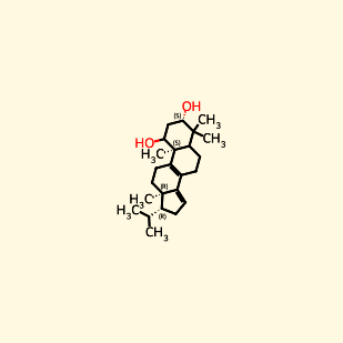 CC(C)[C@H]1CC=C2C3=C(CC[C@@]21C)[C@@]1(C)C(O)C[C@H](O)C(C)(C)C1CC3